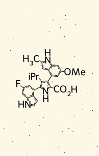 COc1cc(-c2c(C(=O)O)[nH]c(-c3cc(F)cc4[nH]ccc34)c2C(C)C)c2cc(C)[nH]c2c1